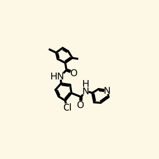 Cc1ccc(C)c(C(=O)Nc2ccc(Cl)c(C(=O)Nc3cccnc3)c2)c1